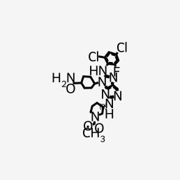 COC(=O)N1CCC[C@@H](Nc2ncc3nc(Nc4c(F)cc(Cl)cc4Cl)n(C4CCC(C(N)=O)CC4)c3n2)C1